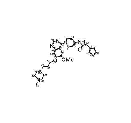 COc1cc2c(-c3ccc(NC(=O)Cc4ccsc4)cc3)ncnc2cc1OCCCN1CCN(C)CC1